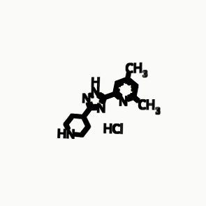 Cc1cc(C)nc(-c2nc(C3CCNCC3)n[nH]2)c1.Cl